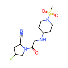 CS(=O)(=O)N1CCC(NCC(=O)N2CC(F)CC2C#N)CC1